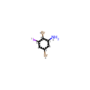 Nc1cc(Br)cc(I)c1Br